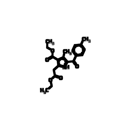 CCOC(=O)Cc1[nH]c(C(=O)c2ccc(C)cc2)c(C)c1C(=O)OCC